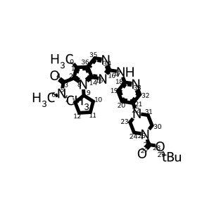 Cc1c(C(=O)N(C)C)n(C2CCCC2)c2nc(Nc3ccc(N4CCN(C(=O)OC(C)(C)C)CC4)cn3)ncc12